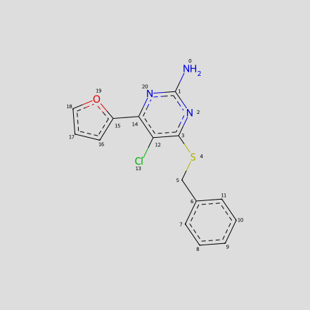 Nc1nc(SCc2ccccc2)c(Cl)c(-c2ccco2)n1